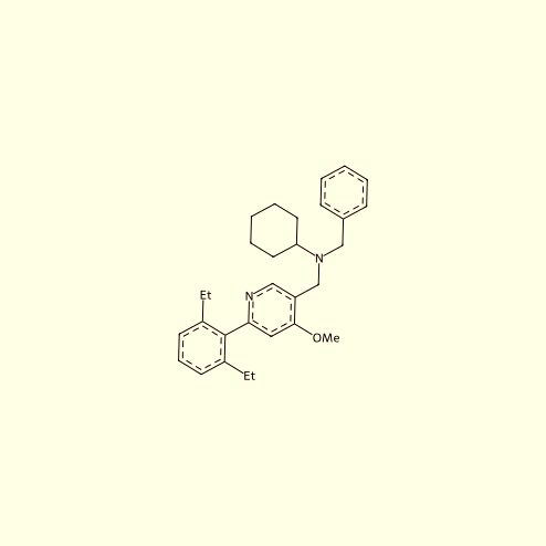 CCc1cccc(CC)c1-c1cc(OC)c(CN(Cc2ccccc2)C2CCCCC2)cn1